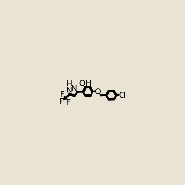 Oc1cc(OCc2ccc(Cl)cc2)ccc1-c1cc(C(F)(F)F)[nH]n1